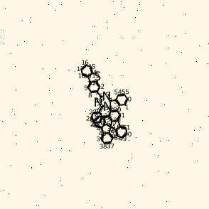 c1ccc(-c2nc(-c3ccc4c(c3)sc3ccccc34)nc(-c3ccccc3-c3cccc4c3C3(c5ccccc5-c5ccccc53)c3ccccc3-4)n2)cc1